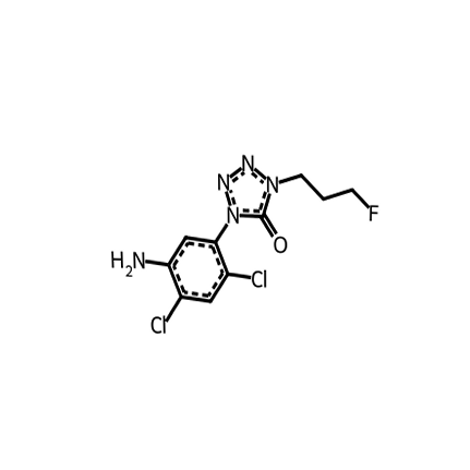 Nc1cc(-n2nnn(CCCF)c2=O)c(Cl)cc1Cl